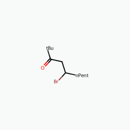 CCCCCC(Br)CC(=O)C(C)(C)C